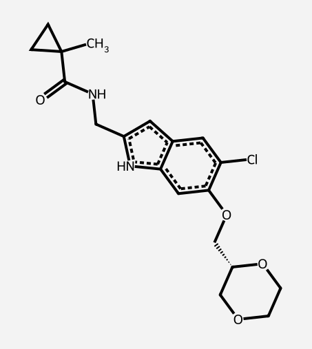 CC1(C(=O)NCc2cc3cc(Cl)c(OC[C@H]4COCCO4)cc3[nH]2)CC1